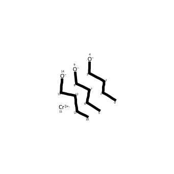 CCCC[O-].CCCC[O-].CCCC[O-].[Cr+3]